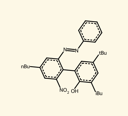 CCCCc1cc(N=Nc2ccccc2)c(-c2cc(C(C)(C)C)cc(C(C)CC)c2O)c([N+](=O)[O-])c1